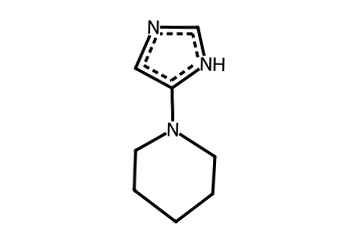 c1ncc(N2CCCCC2)[nH]1